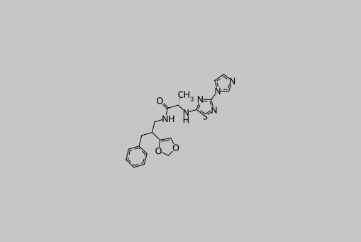 C[C@H](Nc1nc(-n2ccnc2)ns1)C(=O)NCC(Cc1ccccc1)C1=COCO1